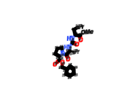 COC(=O)C(CC(C)C)NC(=O)N[C@H](C(=O)N1CCC[C@H]1C(=O)OCc1ccccc1)C(C)C